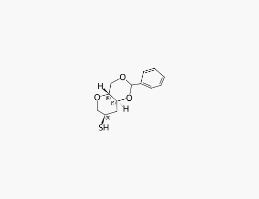 S[C@H]1CO[C@@H]2COC(c3ccccc3)O[C@H]2C1